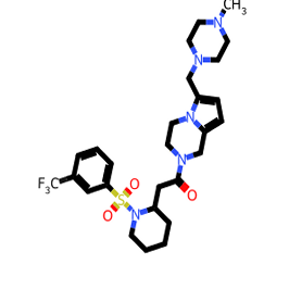 CN1CCN(Cc2ccc3n2CCN(C(=O)CC2CCCCN2S(=O)(=O)c2cccc(C(F)(F)F)c2)C3)CC1